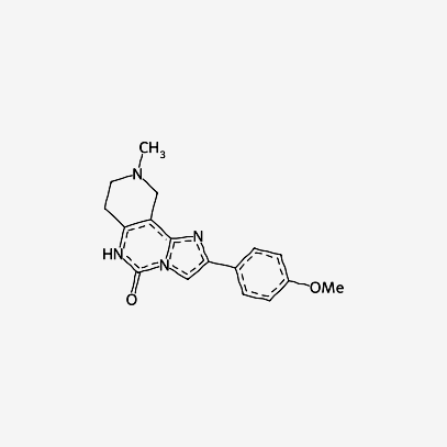 COc1ccc(-c2cn3c(=O)[nH]c4c(c3n2)CN(C)CC4)cc1